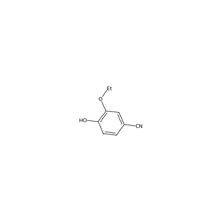 CCOc1cc(C#N)ccc1O